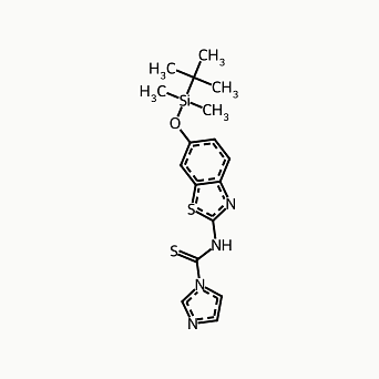 CC(C)(C)[Si](C)(C)Oc1ccc2nc(NC(=S)n3ccnc3)sc2c1